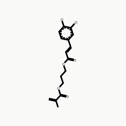 C=C(C)C(=O)OCCCOC(=O)/C=C/c1ccc(Cl)c(Cl)c1